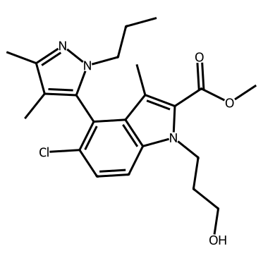 CCCn1nc(C)c(C)c1-c1c(Cl)ccc2c1c(C)c(C(=O)OC)n2CCCO